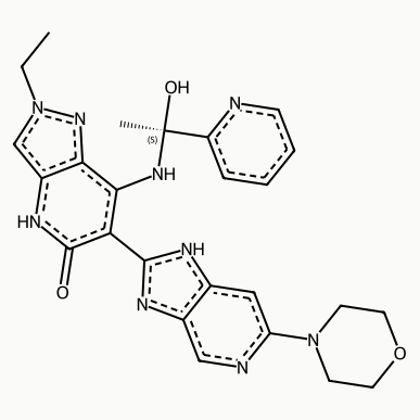 CCn1cc2[nH]c(=O)c(-c3nc4cnc(N5CCOCC5)cc4[nH]3)c(N[C@@](C)(O)c3ccccn3)c2n1